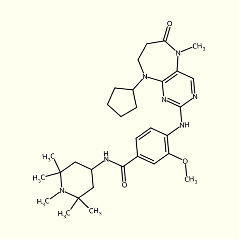 COc1cc(C(=O)NC2CC(C)(C)N(C)C(C)(C)C2)ccc1Nc1ncc2c(n1)N(C1CCCC1)CCC(=O)N2C